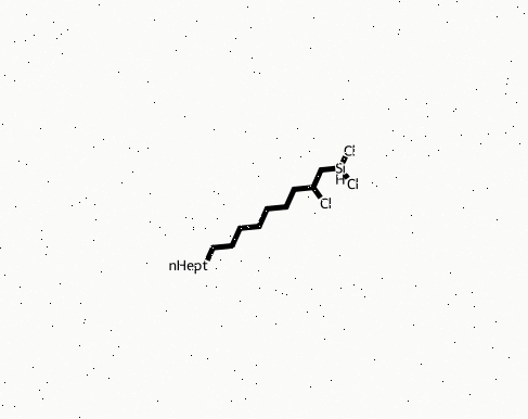 CCCCCCCCCCCCCCC(Cl)C[SiH](Cl)Cl